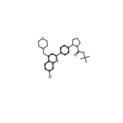 CC(C)(C)OC(=O)N1CCCC1c1ccc(-c2cc(CN3CCOCC3)c3ccc(Cl)cc3n2)cc1